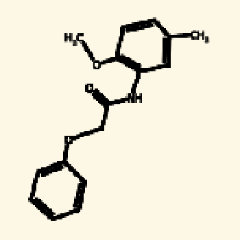 COc1ccc(C)cc1NC(=O)COc1ccccc1